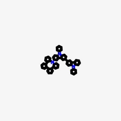 c1ccc(-n2c3ccccc3c3cc(-c4ccc5c(c4)c4cc(-n6c7ccccc7c7ccccc7c7ccccc7c7ccccc76)ccc4n5-c4ccccc4)ccc32)cc1